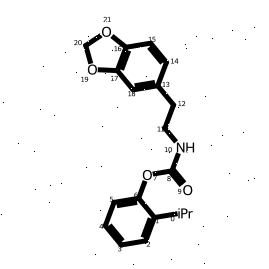 CC(C)c1ccccc1OC(=O)NCCc1ccc2c(c1)OCO2